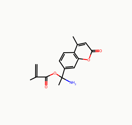 C=C(C)C(=O)OC(C)(N)c1ccc2c(C)cc(=O)oc2c1